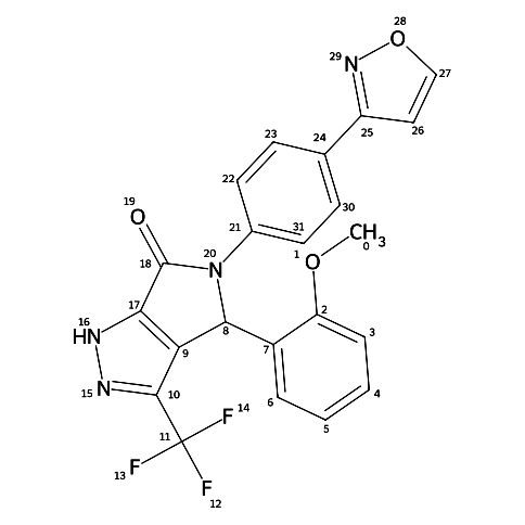 COc1ccccc1C1c2c(C(F)(F)F)n[nH]c2C(=O)N1c1ccc(-c2ccon2)cc1